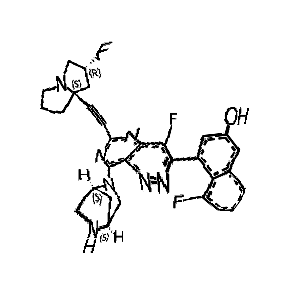 Oc1cc(-c2nnc3c(N4C[C@@H]5C[C@H]4CN5)nc(C#C[C@@]45CCCN4C[C@H](F)C5)nc3c2F)c2c(F)cccc2c1